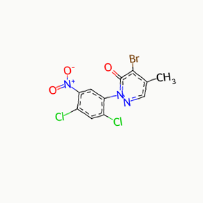 Cc1cnn(-c2cc([N+](=O)[O-])c(Cl)cc2Cl)c(=O)c1Br